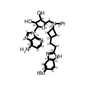 CC(C)N(CC1OC(n2cnc3c(N)ccnc32)C(O)C1O)C1CC(CCc2nc3cc(C(C)(C)C)ccc3[nH]2)C1